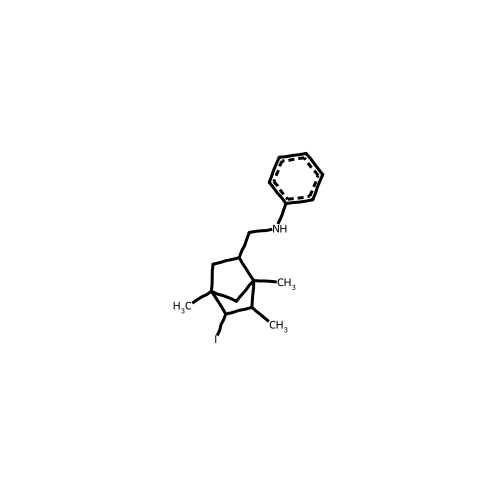 CC1C(I)C2(C)CC(CNc3ccccc3)C1(C)C2